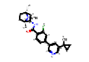 N#CN1[C@H]2CC[C@@H]1[C@H](NC(=O)c1ccc(-c3cncc(C4(C#N)CC4)c3)cc1Cl)C2